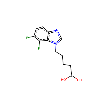 OB(O)CCCCn1cnc2ccc(F)c(F)c21